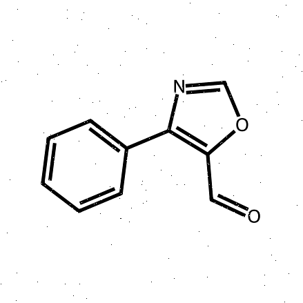 O=Cc1ocnc1-c1ccccc1